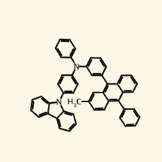 Cc1ccc2c(-c3ccccc3)c3ccccc3c(-c3cccc(N(c4ccccc4)c4ccc(-n5c6ccccc6c6ccccc65)cc4)c3)c2c1